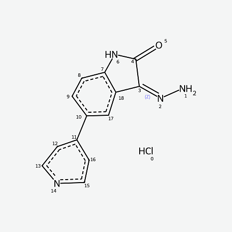 Cl.N/N=C1\C(=O)Nc2ccc(-c3ccncc3)cc21